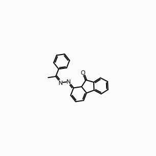 CC(=NN=C1C=CC=C2c3ccccc3C(=O)C21)c1ccccc1